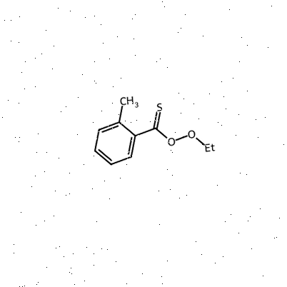 CCOOC(=S)c1ccccc1C